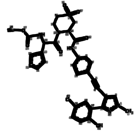 Cn1cc(C#Cc2ccc(NC(=O)[C@@H]3CS(=O)(=O)CCN3C(=O)C(NC(=O)OC(C)(C)C)c3ccsc3)cc2)c(-c2cc(Cl)ccc2O)n1